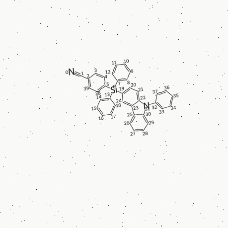 N#Cc1ccc([Si](c2ccccc2)(c2ccccc2)c2ccc3c(c2)c2ccccc2n3-c2ccccc2)cc1